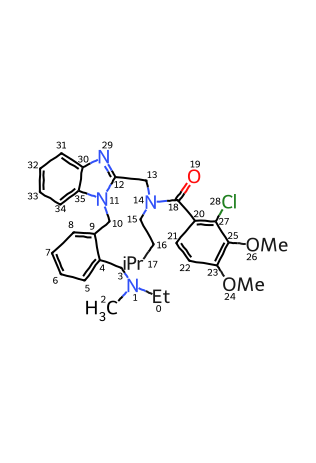 CCN(C)Cc1ccccc1Cn1c(CN(CCC(C)C)C(=O)c2ccc(OC)c(OC)c2Cl)nc2ccccc21